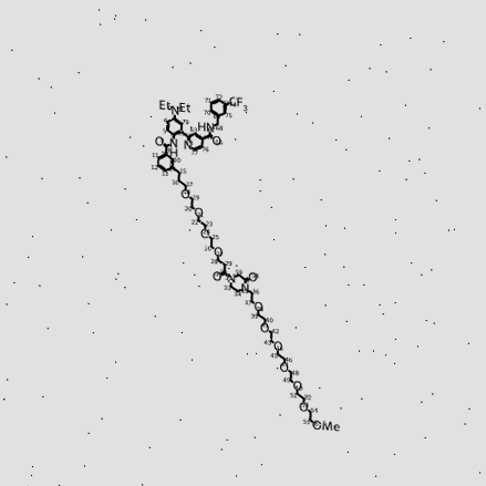 CCN(CC)c1ccc(NC(=O)c2cccc(CCCOCCOCCOCCOCCC(=O)N3CCN(CCOCCOCCOCCOCCOCCOCCOC)C(=O)C3)c2)c(-c2cc(C(=O)NCc3cccc(C(F)(F)F)c3)ccn2)c1